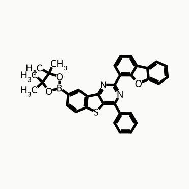 CC1(C)OB(c2ccc3sc4c(-c5ccccc5)nc(-c5cccc6c5oc5ccccc56)nc4c3c2)OC1(C)C